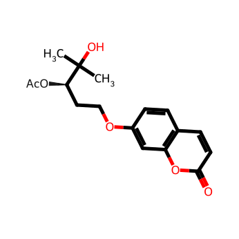 CC(=O)O[C@H](CCOc1ccc2ccc(=O)oc2c1)C(C)(C)O